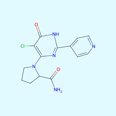 NC(=O)C1CCCN1c1nc(-c2ccncc2)[nH]c(=O)c1Cl